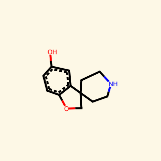 Oc1ccc2c(c1)C1(CCNCC1)CO2